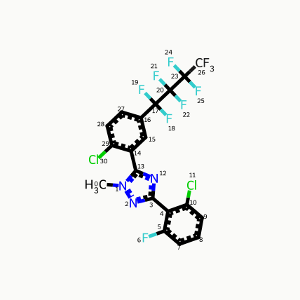 Cn1nc(-c2c(F)cccc2Cl)nc1-c1cc(C(F)(F)C(F)(F)C(F)(F)C(F)(F)F)ccc1Cl